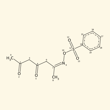 CC(=O)CC(=O)CC(C)=NOS(=O)(=O)c1ccccc1